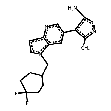 Cc1noc(N)c1-c1cnc2ccn(CC3CCC(F)(F)CC3)c2c1